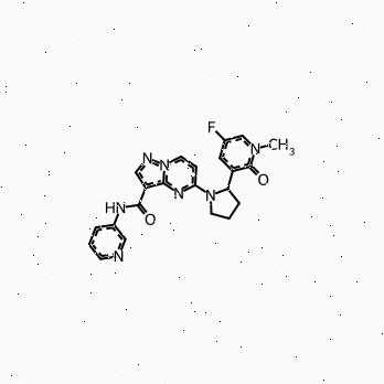 Cn1cc(F)cc(C2CCCN2c2ccn3ncc(C(=O)Nc4cccnc4)c3n2)c1=O